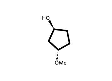 CO[C@H]1CC[C@H](O)C1